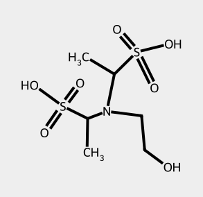 CC(N(CCO)C(C)S(=O)(=O)O)S(=O)(=O)O